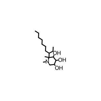 CCCCCCCC(CC)C1(C)C(O)C(O)C(O)CN1C